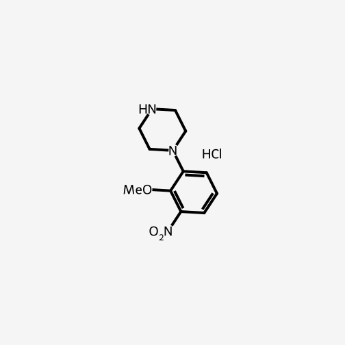 COc1c(N2CCNCC2)cccc1[N+](=O)[O-].Cl